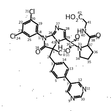 CC1(Cc2ccc(-c3cncnc3)cc2)C(=O)N(c2cc(Cl)cc(Cl)c2)c2ncc(S(=O)(=O)N3CCCC3C(=O)NCC(=O)O)n21